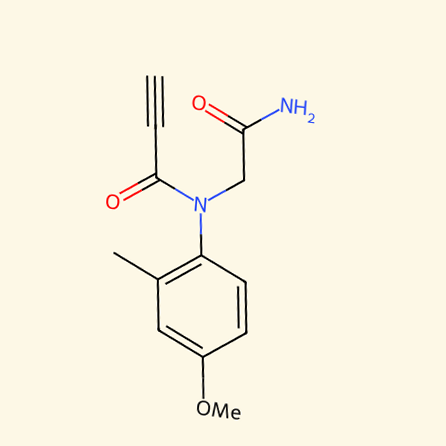 C#CC(=O)N(CC(N)=O)c1ccc(OC)cc1C